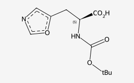 CC(C)(C)OC(=O)N[C@@H](Cc1cnco1)C(=O)O